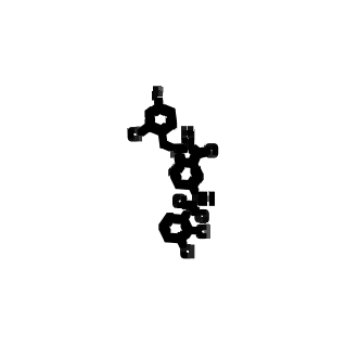 O=c1[nH]n(Cc2ccc(F)cc2Cl)c2ccc(NS(=O)(=O)c3cccc(Cl)c3Cl)cc12